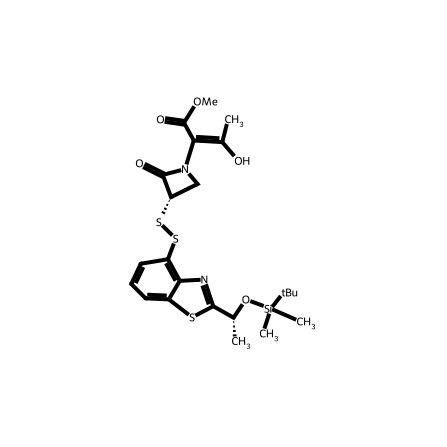 COC(=O)C(=C(C)O)N1C[C@H](SSc2cccc3sc([C@@H](C)O[Si](C)(C)C(C)(C)C)nc23)C1=O